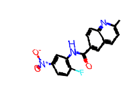 Cc1ccc2cc(C(=O)Nc3cc([N+](=O)[O-])ccc3F)ccc2n1